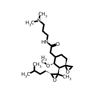 CO[C@@H]1C(CC(=O)NCCCN(C)C)CC[C@]2(CO2)[C@H]1C1(C)O[C@@H]1CCC(C)C